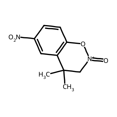 CC1(C)C[N+](=O)Oc2ccc([N+](=O)[O-])cc21